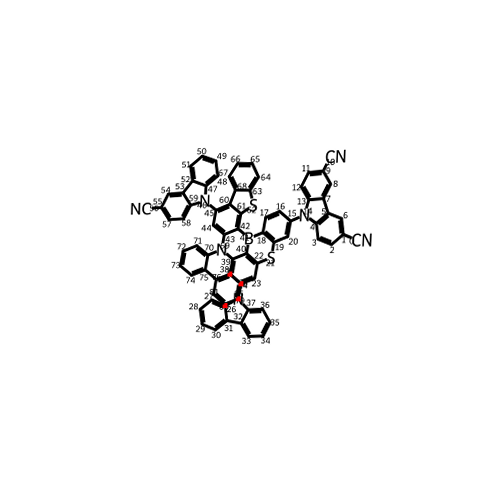 N#Cc1ccc2c(c1)c1cc(C#N)ccc1n2-c1ccc2c(c1)Sc1cc(-n3c4ccccc4c4ccccc43)cc3c1B2c1c(cc(-n2c4ccccc4c4cc(C#N)ccc42)c2c1sc1ccccc12)N3c1ccccc1-c1ccccc1